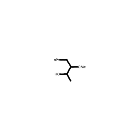 CCCCC(OC)C(C)O